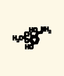 CC(C)Oc1cc(C(O)CN)ccc1O